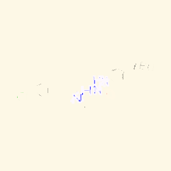 CC(C)(C)c1ccc(NC(=O)N[C@@H]2CCC[C@H]2N2CCC(Cc3ccc(Cl)cc3)CC2)cc1